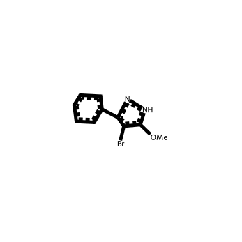 COc1[nH]nc(-c2ccccc2)c1Br